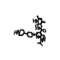 Cc1cc(C)c(CNC(=O)c2cc(N3CCC(C4CCNCC4)CC3)nc3c2cnn3C(C)C)c(=O)[nH]1